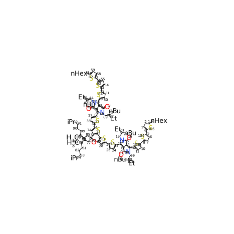 CCCCCCc1ccc(-c2ccc(-c3ccc(C4=C5C(=O)N(CC(CC)CCCC)C(c6ccc(-c7cc8c(s7)-c7sc(-c9ccc(C%10=C%11C(=O)N(CC(CC)CCCC)C(c%12ccc(-c%13ccc(-c%14ccc(CCCCCC)s%14)s%13)s%12)=C%11C(=O)N%10CC(CC)CCCC)s9)cc7C(CCC(C)CCCC(C)C)(CCC(C)CCCC(C)C)O8)s6)=C5C(=O)N4CC(CC)CCCC)s3)s2)s1